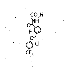 O=C(O)CNC(=O)c1cccc(COc2ccc(C(F)(F)F)cc2Cl)c1F